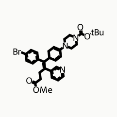 COC(=O)CC/C(=C(\c1ccc(Br)cc1)C1C=CC(N2CCN(C(=O)OC(C)(C)C)CC2)=CC1)c1cccnc1